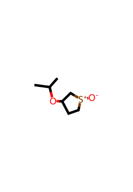 CC(C)OC1CC[S+]([O-])C1